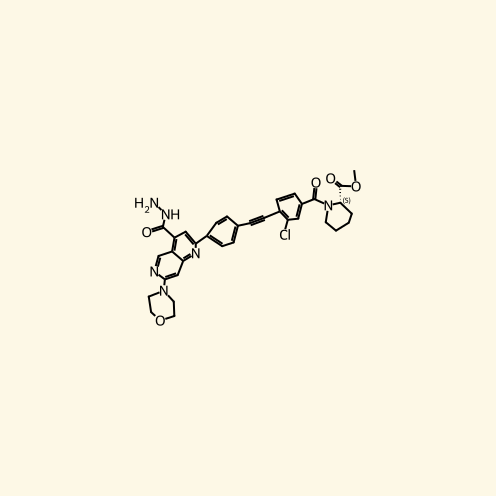 COC(=O)[C@@H]1CCCCN1C(=O)c1ccc(C#Cc2ccc(-c3cc(C(=O)NN)c4cnc(N5CCOCC5)cc4n3)cc2)c(Cl)c1